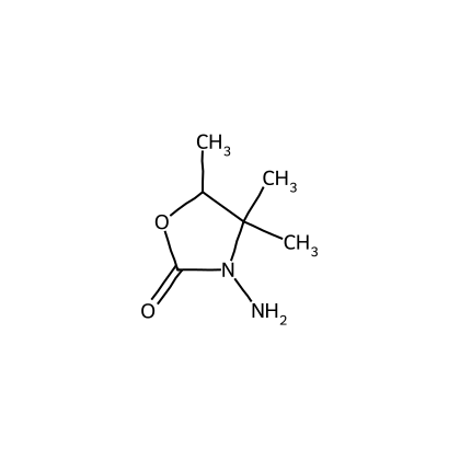 CC1OC(=O)N(N)C1(C)C